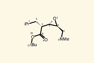 CNC[C@@H]1O[C@H]1[C@@H](CC(C)C)C(=O)OC(C)(C)C